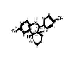 CC(C)(C)c1ccc2c(c1)[C@H]1OCCC[C@H]1[C@H](C1C=CC(O)=CC1)N2